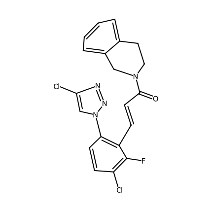 O=C(C=Cc1c(-n2cc(Cl)nn2)ccc(Cl)c1F)N1CCc2ccccc2C1